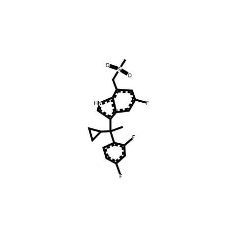 CC(c1ccc(F)cc1F)(c1c[nH]c2c(CS(C)(=O)=O)cc(F)cc12)C1CC1